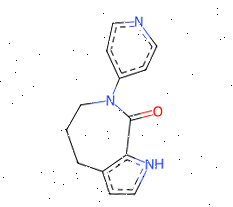 O=C1c2[nH]ccc2CCCN1c1ccncc1